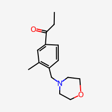 CCC(=O)c1ccc(CN2CCOCC2)c(C)c1